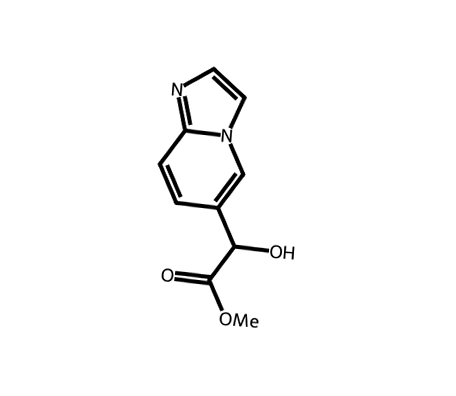 COC(=O)C(O)c1ccc2nccn2c1